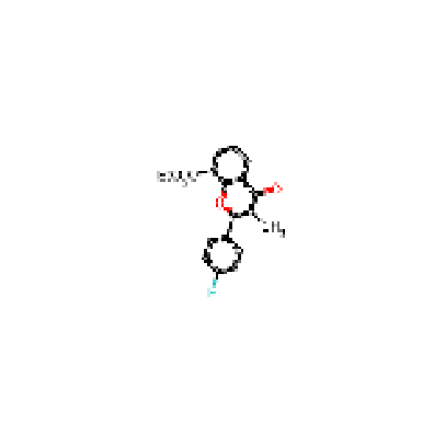 CCOC(=O)c1cccc2c(=O)c(C)c(-c3ccc(F)cc3)oc12